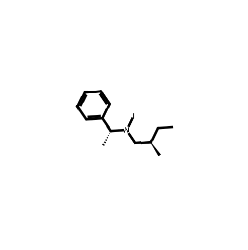 CC[C@@H](C)CN(I)[C@H](C)c1ccccc1